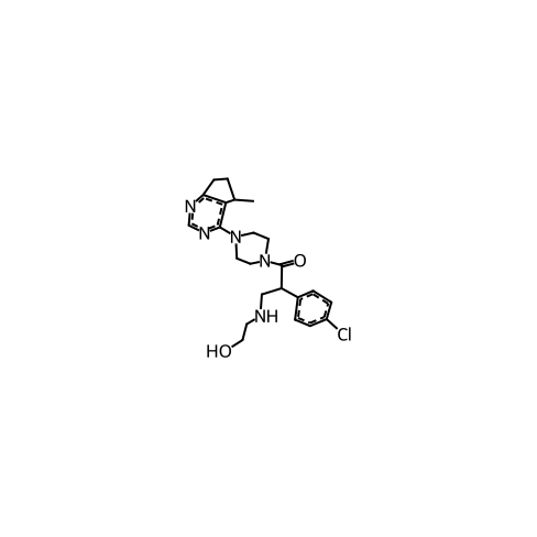 CC1CCc2ncnc(N3CCN(C(=O)C(CNCCO)c4ccc(Cl)cc4)CC3)c21